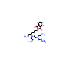 NCCN(CCN)CCN(CCN)C(CN)CCCCN1C(=O)C2=C(CCCC2)C1=O